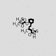 COC(=O)C(OC)Oc1ccccc1CCC(C)=C1SC(=S)NC1=O